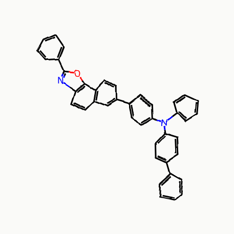 c1ccc(-c2ccc(N(c3ccccc3)c3ccc(-c4ccc5c(ccc6nc(-c7ccccc7)oc65)c4)cc3)cc2)cc1